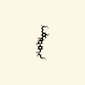 C[C@H](N)CCCc1cc(Cl)c(F)c(-c2cc3cn(-c4ccc(CN[C@H](C)CCN)cc4)c(=O)nc3[nH]2)c1